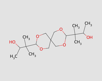 CC(O)C(C)(C)C1OCC2(CO1)COC(C(C)(C)C(C)O)OC2